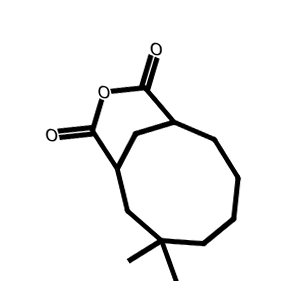 CC1(C)CCCCC2CC(C1)C(=O)OC2=O